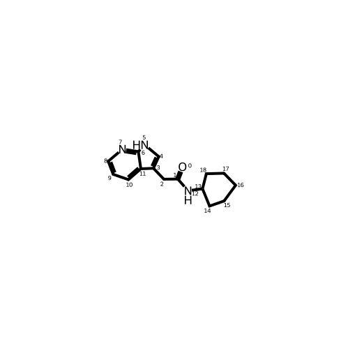 O=C(Cc1c[nH]c2ncccc12)NC1CCCCC1